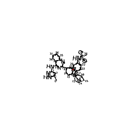 Cc1cc(Nc2nc(-c3ccc(N4CC5CC(C4)N5Cc4ccc(NS(C)(=O)=O)cc4)nc3)nc3ccccc23)n[nH]1